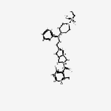 CCS(=O)(=O)N1CCC(C(CCN2C=C3CN(C(=O)c4c(C)ncnc4C)CC3C2)c2ccccc2)CC1